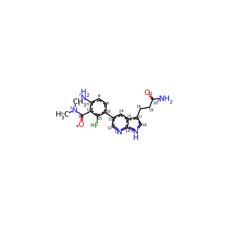 CN(C)C(=O)c1c(N)ccc(-c2cnc3[nH]cc(CCC(N)=O)c3c2)c1F